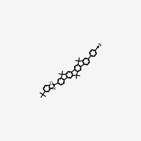 CC(C)(C)c1ccc2oc(-c3ccc4c(c3)C(C)(C)c3cc5c(cc3-4)C(C)(C)c3cc4c(cc3-5)C(C)(C)c3cc(-c5ccc(C#N)cc5)ccc3-4)nc2c1